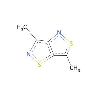 Cc1nsc2c(C)snc12